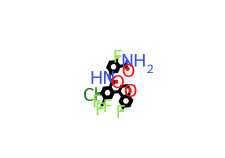 NC(=O)c1cc(NC(=O)c2cc(Cl)c(C(F)(F)F)cc2C2CCOc3ccc(F)cc32)ccc1F